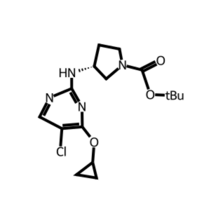 CC(C)(C)OC(=O)N1CC[C@@H](Nc2ncc(Cl)c(OC3CC3)n2)C1